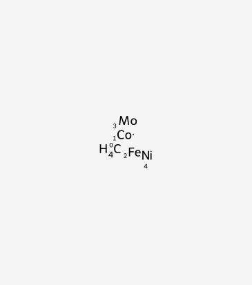 C.[Co].[Fe].[Mo].[Ni]